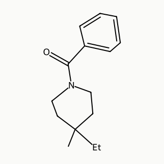 CCC1(C)CCN(C(=O)c2ccccc2)CC1